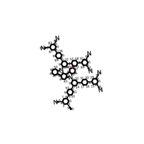 C#Cc1cc(C#N)cc(-c2ccc(-c3cc(-c4ccc(-c5cc(C#N)cc(C#N)c5)cc4)cc(-n4c5ccccc5c5c4ccc4c6ccccc6n(-c6cc(-c7ccc(-c8cc(C#N)cc(C#N)c8)cc7)cc(-c7ccc(-c8cc(C#N)cc(C#N)c8)cc7)c6)c45)c3)cc2)c1